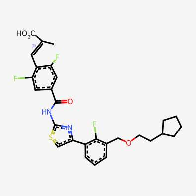 C/C(=C\c1c(F)cc(C(=O)Nc2nc(-c3cccc(COCCC4CCCC4)c3F)cs2)cc1F)C(=O)O